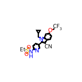 CCS(=O)(=O)Nc1ccc(-c2c(C#N)c3ccc(OCC(F)(F)F)cc3n2CC2CC2)cn1